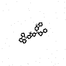 CC1(C)c2cc(N(c3cccc(-c4ccccc4)c3)c3ccc4oc5ccccc5c4c3)ccc2-c2ccc(N3c4ccccc4-c4cccc5cccc3c45)cc21